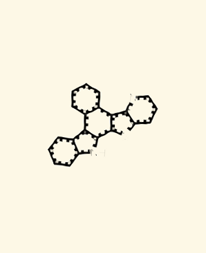 c1ccc2c(c1)[nH]c1c3sc4cccnc4c3c3ccccc3c21